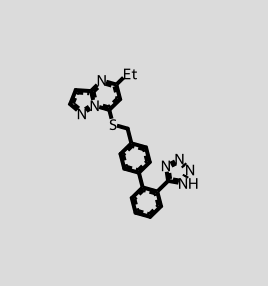 CCc1cc(SCc2ccc(-c3ccccc3-c3nnn[nH]3)cc2)n2nccc2n1